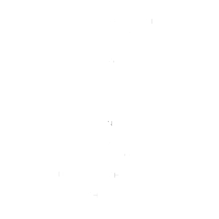 CC(=O)COC1CCN(C(=O)CC(C)(C)C)CC1